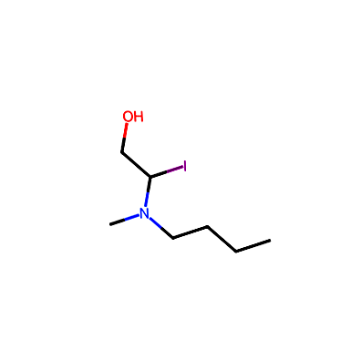 CCCCN(C)C(I)CO